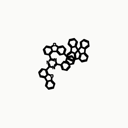 c1ccc(-c2nc(-c3cccc4c3oc3ccccc34)nc(-c3cccc4oc5ccc(-c6cccc(-c7cccc8c7C7(c9ccccc9-c9ccccc97)c7ccccc7-8)c6)cc5c34)n2)cc1